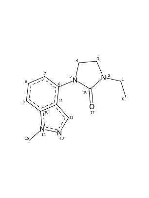 CCN1CCN(c2cccc3c2cnn3C)C1=O